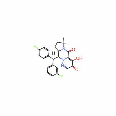 CC1(C)CC[C@@H]2[C@H]([C@H](c3ccc(F)cc3)c3cccc(F)c3)n3ncc(=O)c(O)c3C(=O)N21